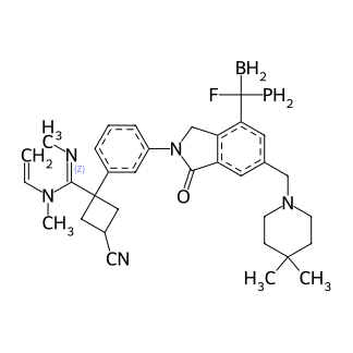 BC(F)(P)c1cc(CN2CCC(C)(C)CC2)cc2c1CN(c1cccc(C3(/C(=N/C)N(C)C=C)CC(C#N)C3)c1)C2=O